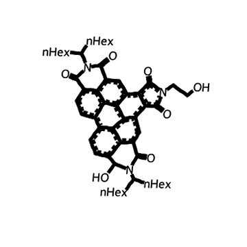 CCCCCCC(CCCCCC)N1C(=O)c2ccc3c4ccc5c6c(cc7c8c(=O)n(CCO)c(=O)c8c8cc(c2c3c8c7c64)C1=O)C(=O)N(C(CCCCCC)CCCCCC)C5O